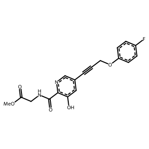 COC(=O)CNC(=O)c1ncc(C#CCOc2ccc(F)cc2)cc1O